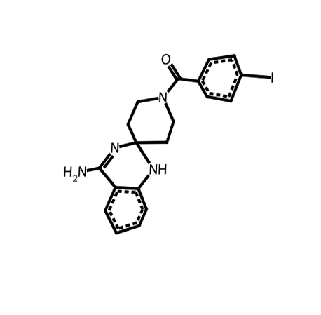 NC1=NC2(CCN(C(=O)c3ccc(I)cc3)CC2)Nc2ccccc21